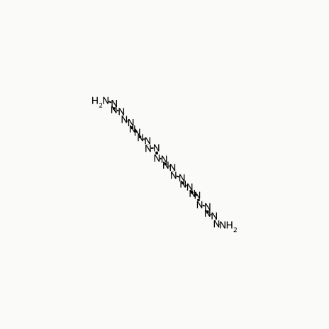 N/N=N/N=N/N=N/N=N/N=N/N=N/N=N/N=N/N=N/N=N/N=N/N=N/N=N/N